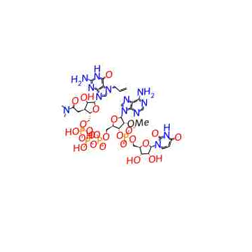 C=CC[n+]1cn([C@@H]2O[C@H](COP(=O)(O)OP(=O)(O)OP(=O)(O)OC[C@H]3O[C@@H](n4cnc5c(N)ncnc54)[C@H](OC)[C@@H]3OP(=O)([O-])OC[C@H]3O[C@@H](n4ccc(=O)[nH]c4=O)[C@H](O)[C@@H]3O)[C@@H](CC(=O)N(C)C)[C@H]2O)c2nc(N)[nH]c(=O)c21